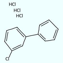 Cl.Cl.Cl.Clc1cccc(-c2ccccc2)c1